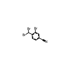 N#Cc1ccc(C(Br)Br)c(Br)c1